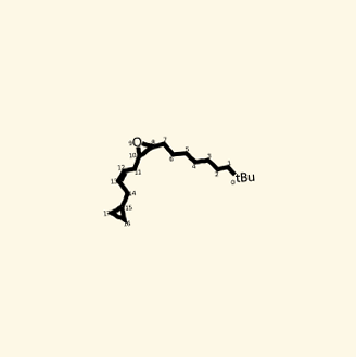 CC(C)(C)CCCCCCCC1OC1C/C=C\CC1CC1